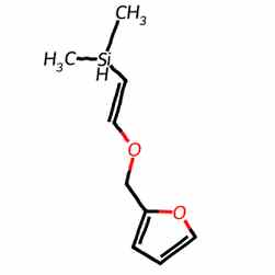 C[SiH](C)C=COCc1ccco1